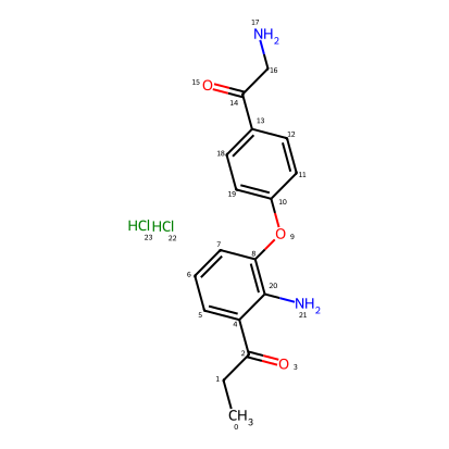 CCC(=O)c1cccc(Oc2ccc(C(=O)CN)cc2)c1N.Cl.Cl